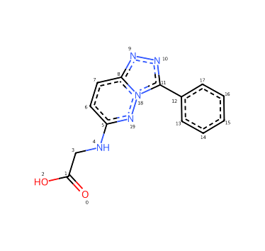 O=C(O)CNc1ccc2nnc(-c3ccccc3)n2n1